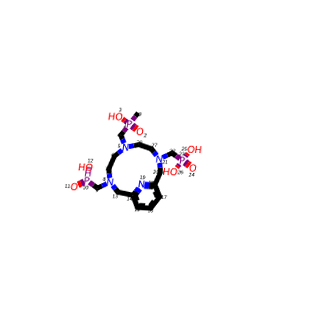 CP(=O)(O)CN1CCN(C[PH](=O)O)Cc2cccc(n2)CN(CP(=O)(O)O)CC1